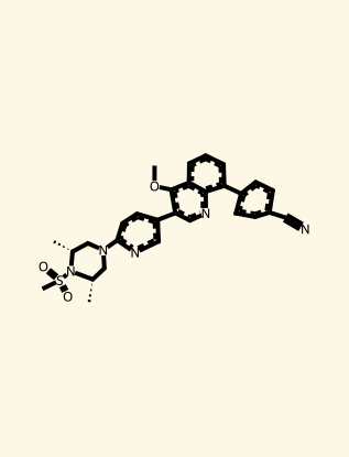 COc1c(-c2ccc(N3C[C@@H](C)N(S(C)(=O)=O)[C@@H](C)C3)nc2)cnc2c(-c3ccc(C#N)cc3)cccc12